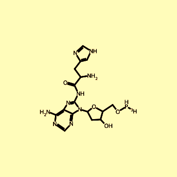 [3H]POCC1OC(n2c(NC(=O)C(N)Cc3c[nH]cn3)nc3c(N)ncnc32)CC1O